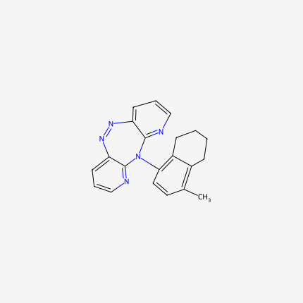 Cc1ccc(N2c3ncccc3N=Nc3cccnc32)c2c1CCCC2